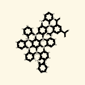 CC(C)c1cc(C(C)C)c(B2c3ccccc3Sc3cc4c(cc32)B2c3ccccc3N3c5ccc6c(sc7ccccc76)c5B5c6ccccc6N6c7ccccc7B7c8ccccc8N4c4c7c6c5c3c42)c(C(C)C)c1